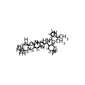 CC(C)n1nccc1C(=O)N[C@H](c1cn2ncc(CN3C[C@@H]4[C@H](CNC3=O)C4(F)F)cc2n1)C1CCC(F)(F)CC1